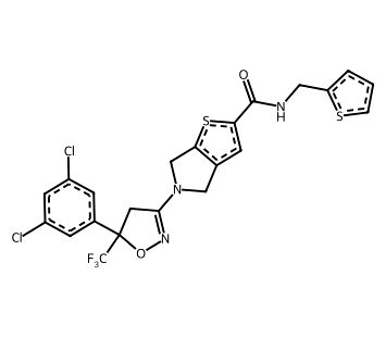 O=C(NCc1cccs1)c1cc2c(s1)CN(C1=NOC(c3cc(Cl)cc(Cl)c3)(C(F)(F)F)C1)C2